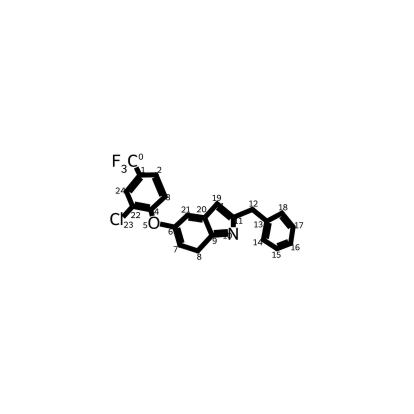 FC(F)(F)c1ccc(OC2=CCC3=NC(Cc4ccccc4)=[C]C3=C2)c(Cl)c1